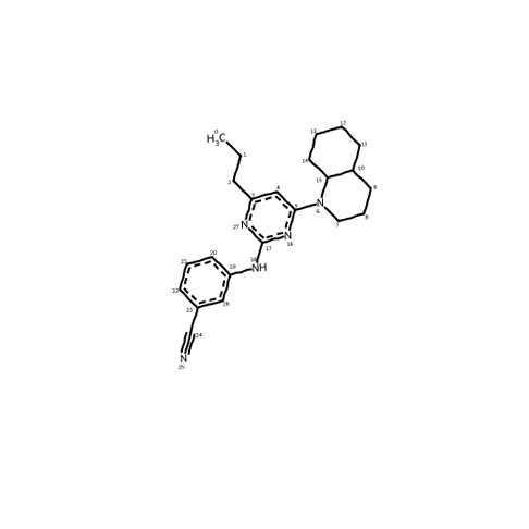 CCCc1cc(N2CCCC3CCCCC32)nc(Nc2cccc(C#N)c2)n1